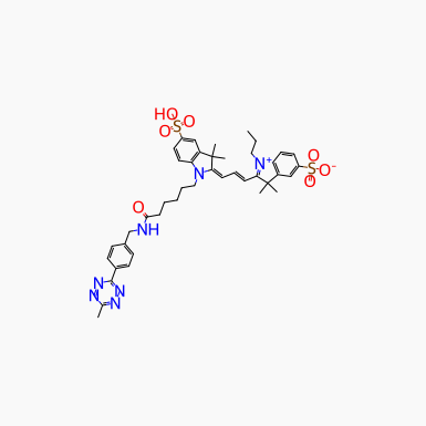 CCC[N+]1=C(/C=C/C=C2/N(CCCCCC(=O)NCc3ccc(-c4nnc(C)nn4)cc3)c3ccc(S(=O)(=O)O)cc3C2(C)C)C(C)(C)c2cc(S(=O)(=O)[O-])ccc21